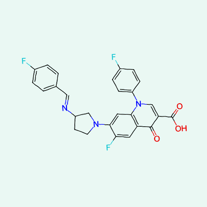 O=C(O)c1cn(-c2ccc(F)cc2)c2cc(N3CCC(N=Cc4ccc(F)cc4)C3)c(F)cc2c1=O